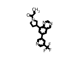 C=CC(=O)N1CCC(c2cc(-c3cncc(C(F)(F)F)c3)cc3cncnc23)C1